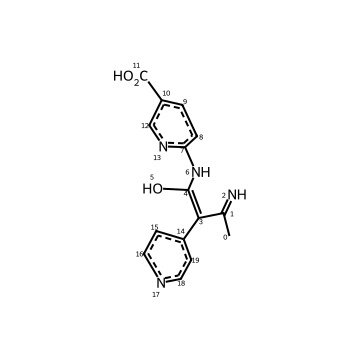 CC(=N)/C(=C(/O)Nc1ccc(C(=O)O)cn1)c1ccncc1